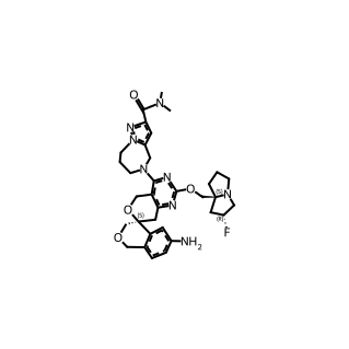 CN(C)C(=O)c1cc2n(n1)CCCN(c1nc(OC[C@@]34CCCN3C[C@H](F)C4)nc3c1CO[C@@]1(COCc4ccc(N)cc41)C3)C2